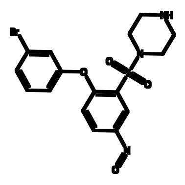 O=Nc1ccc(Oc2cccc(Br)c2)c(S(=O)(=O)N2CCNCC2)c1